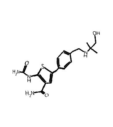 CC(C)(CO)NCc1ccc(-c2cc(C(N)=O)c(NC(N)=O)s2)cc1